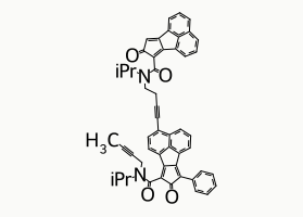 CC#CCN(C(=O)C1=C2C(=C(c3ccccc3)C1=O)c1cccc3c(C#CCCN(C(=O)C4=C5C(=CC4=O)c4cccc6cccc5c46)C(C)C)ccc2c13)C(C)C